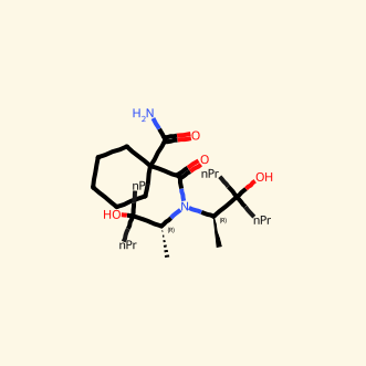 CCCC(O)(CCC)[C@@H](C)N(C(=O)C1(C(N)=O)CCCCC1)[C@H](C)C(O)(CCC)CCC